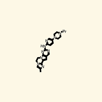 Cc1cn2c(n1)-c1cc3cnc(Nc4ccc(N5CCN(C(C)C)CC5)cn4)nc3n1CC2